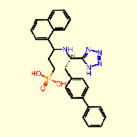 O=P(O)(O)CCC(N[C@@H](Cc1ccc(-c2ccccc2)cc1)c1nnn[nH]1)c1cccc2ccccc12